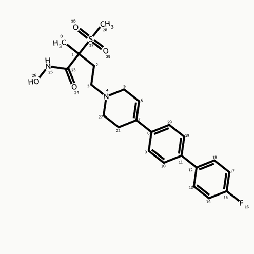 CC(CCN1CC=C(c2ccc(-c3ccc(F)cc3)cc2)CC1)(C(=O)NO)S(C)(=O)=O